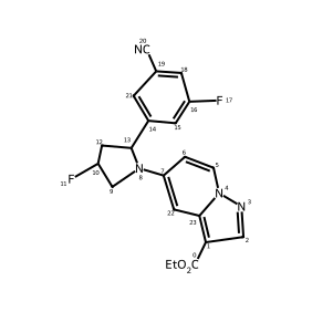 CCOC(=O)c1cnn2ccc(N3CC(F)CC3c3cc(F)cc(C#N)c3)cc12